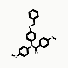 COc1ccc(C(=O)N(c2ccc(OC)cc2)c2ccc(OCc3ccccc3)cc2)cc1